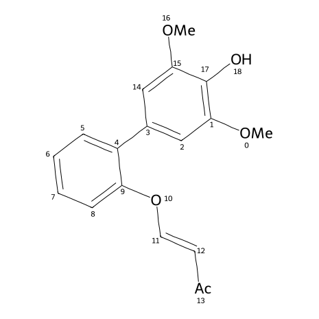 COc1cc(-c2ccccc2OC=CC(C)=O)cc(OC)c1O